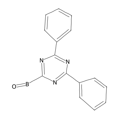 O=Bc1nc(-c2ccccc2)nc(-c2ccccc2)n1